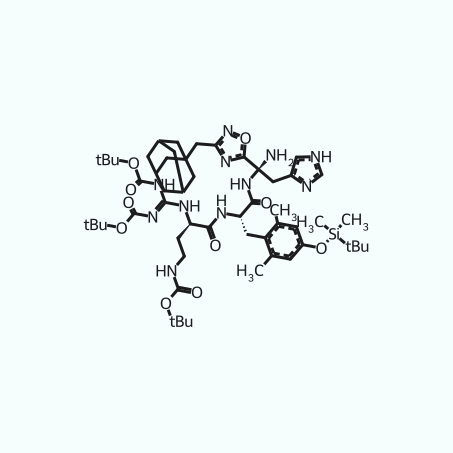 Cc1cc(O[Si](C)(C)C(C)(C)C)cc(C)c1C[C@H](NC(=O)[C@@H](CCNC(=O)OC(C)(C)C)N/C(=N/C(=O)OC(C)(C)C)NC(=O)OC(C)(C)C)C(=O)N[C@@](N)(Cc1c[nH]cn1)c1nc(CC23CC4CC(CC(C4)C2)C3)no1